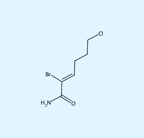 NC(=O)C(Br)=CCCCCl